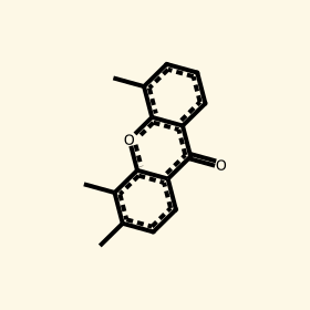 Cc1ccc2c(=O)c3cccc(C)c3oc2c1C